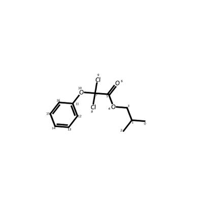 CC(C)COC(=O)C(Cl)(Cl)Oc1ccccc1